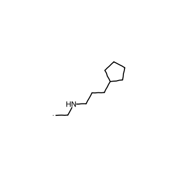 [CH2]CNCCCC1CCCC1